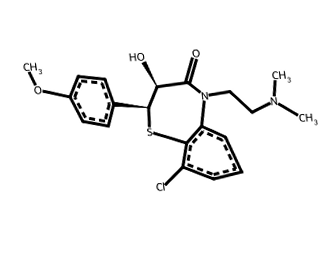 COc1ccc([C@@H]2Sc3c(Cl)cccc3N(CCN(C)C)C(=O)[C@@H]2O)cc1